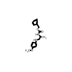 C[C@@H](CNc1ccc(OC(F)(F)F)cc1)NC(=O)OCc1ccccc1